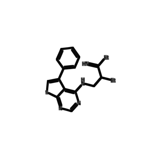 CCC(=N)C(CC)CNc1ncnc2scc(-c3ccccc3)c12